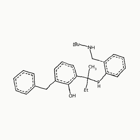 CCC(C)(Pc1ccccc1CNC(C)(C)C)c1cccc(Cc2ccccc2)c1O